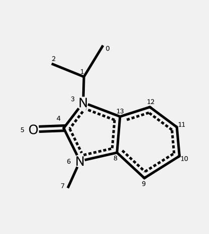 CC(C)n1c(=O)n(C)c2ccccc21